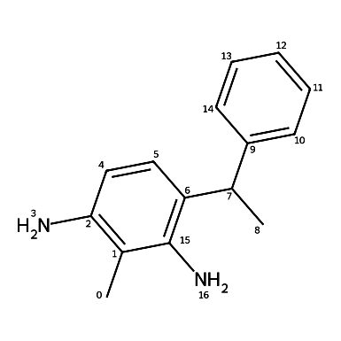 Cc1c(N)ccc(C(C)c2ccccc2)c1N